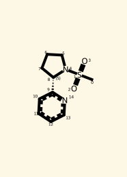 CS(=O)(=O)N1CCC[C@H]1c1ccccn1